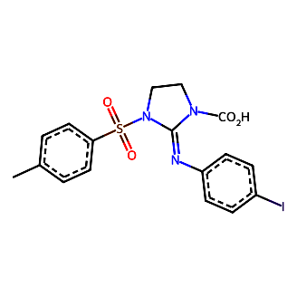 Cc1ccc(S(=O)(=O)N2CCN(C(=O)O)/C2=N\c2ccc(I)cc2)cc1